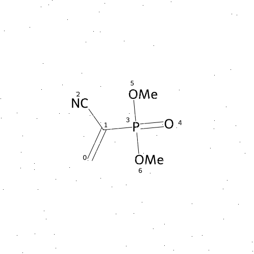 C=C(C#N)P(=O)(OC)OC